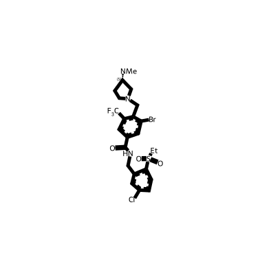 CCS(=O)(=O)c1ccc(Cl)cc1CNC(=O)c1cc(Br)c(CN2CC[C@H](NC)C2)c(C(F)(F)F)c1